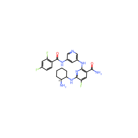 NC(=O)c1cc(F)c(NC2CCCC[C@@H]2N)nc1Nc1cncc(NC(=O)c2ccc(F)cc2F)c1